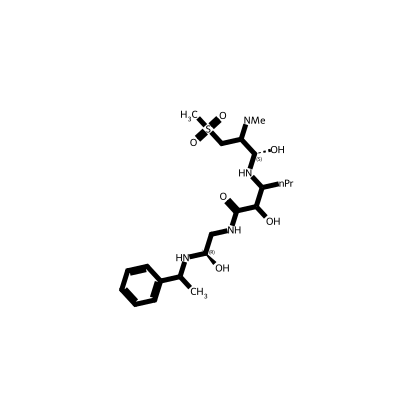 CCCC(N[C@@H](O)C(CS(C)(=O)=O)NC)C(O)C(=O)NC[C@@H](O)NC(C)c1ccccc1